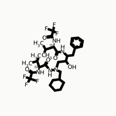 CC(C)[C@H](NC(=O)C(F)(F)F)C(=O)NC(Cc1ccccc1)C(O)CN(CC1CCCCC1)NC(=O)[C@@H](NC(=O)C(F)(F)F)C(C)C